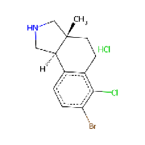 C[C@@]12CCc3c(ccc(Br)c3Cl)[C@H]1CNC2.Cl